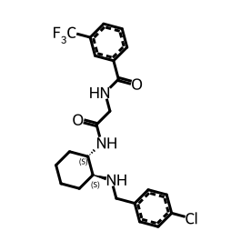 O=C(CNC(=O)c1cccc(C(F)(F)F)c1)N[C@H]1CCCC[C@@H]1NCc1ccc(Cl)cc1